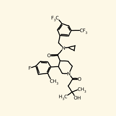 Cc1cc(F)ccc1C1CN(C(=O)CC(C)(C)O)CCC1C(=O)N(Cc1cc(C(F)(F)F)cc(C(F)(F)F)c1)C1CC1